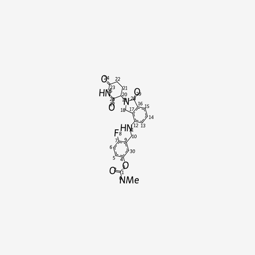 CNC(=O)Oc1ccc(F)c(CNc2cccc3c2CN(C2CCC(=O)NC2=O)C3=O)c1